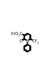 CCOC(=O)c1ccc(C(F)(F)F)n(-c2ccccc2)c1=O